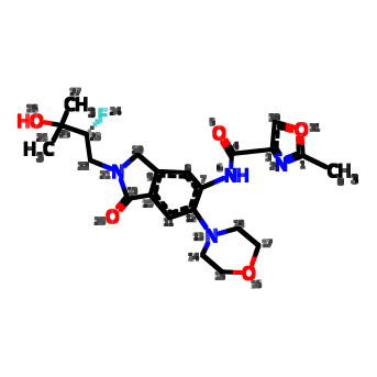 Cc1nc(C(=O)Nc2cc3c(cc2N2CCOCC2)C(=O)N(C[C@@H](F)C(C)(C)O)C3)co1